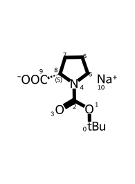 CC(C)(C)OC(=O)N1CCC[C@H]1C(=O)[O-].[Na+]